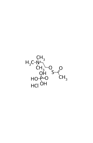 CC(=O)SOCC[N+](C)(C)C.Cl.O=P(O)(O)O